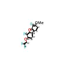 COc1ccc2c(oc3c(F)c(OC=C(F)F)ccc32)c1F